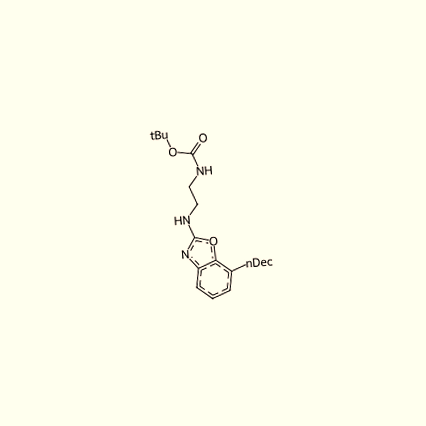 CCCCCCCCCCc1cccc2nc(NCCNC(=O)OC(C)(C)C)oc12